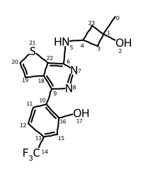 CC1(O)CC(Nc2nnc(-c3ccc(C(F)(F)F)cc3O)c3ccsc23)C1